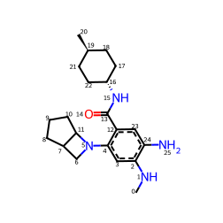 CNc1cc(N2CC3CCCC32)c(C(=O)N[C@H]2CC[C@H](C)CC2)cc1N